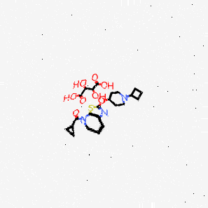 O=C(C1CC1)N1CCCc2nc(OC3CCN(C4CCC4)CC3)sc21.O=C(O)C(O)C(O)C(=O)O